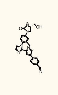 CN1C(=O)N(c2ccc3c(c2)Cn2cc(-c4ccc(C#N)cc4)cc2-c2nccn2-3)C[C@H]1CO